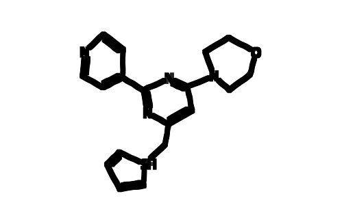 C1=C[SH](Cc2cc(N3CCOCC3)nc(-c3ccncc3)n2)C=C1